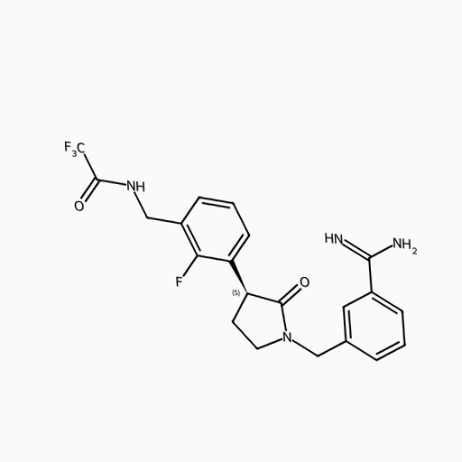 N=C(N)c1cccc(CN2CC[C@@H](c3cccc(CNC(=O)C(F)(F)F)c3F)C2=O)c1